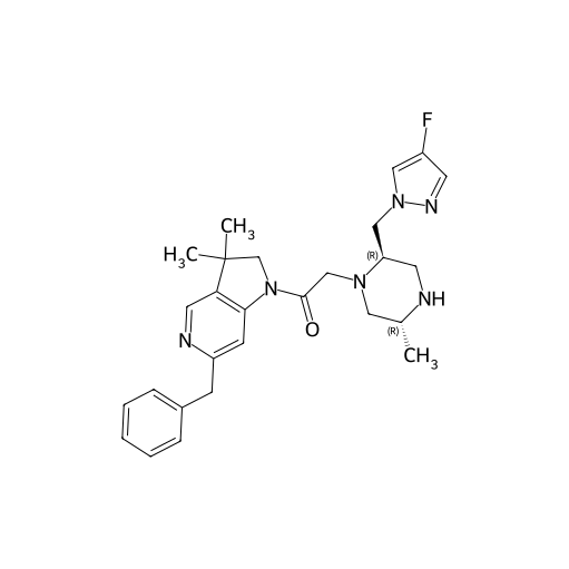 C[C@@H]1CN(CC(=O)N2CC(C)(C)c3cnc(Cc4ccccc4)cc32)[C@@H](Cn2cc(F)cn2)CN1